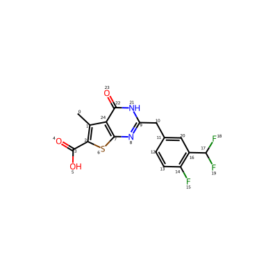 Cc1c(C(=O)O)sc2nc(Cc3ccc(F)c(C(F)F)c3)[nH]c(=O)c12